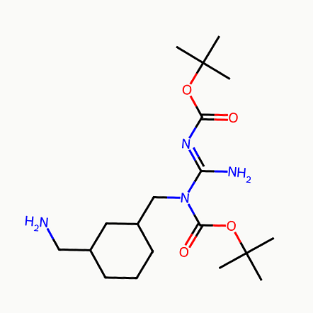 CC(C)(C)OC(=O)N=C(N)N(CC1CCCC(CN)C1)C(=O)OC(C)(C)C